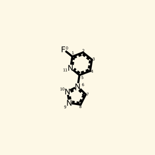 Fc1cccc(-n2ccnn2)n1